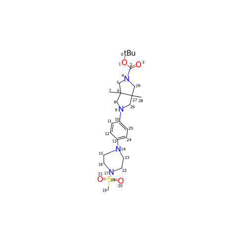 CC(C)(C)OC(=O)N1CC2(C)CN(c3ccc(N4CCN(S(C)(=O)=O)CC4)cc3)CC2(C)C1